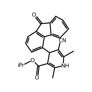 CC1=C(C#N)C(c2cccc3c2-c2ccccc2C3=O)C(C(=O)OC(C)C)=C(C)N1